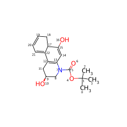 CC(C)(C)OC(=O)N1C[C@@H](O)CC2=C1C=C(O)C1CC=CC=C21